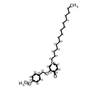 CCCCCCCCCCCCCCCCn1ccc(=O)c(OCc2ccc(OC)cc2)c1